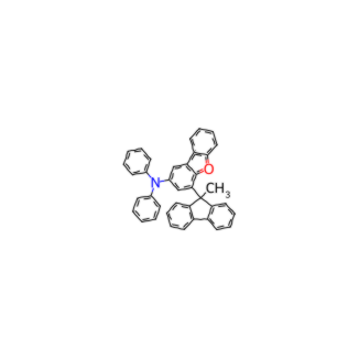 CC1(c2cc(N(c3ccccc3)c3ccccc3)cc3c2oc2ccccc23)c2ccccc2-c2ccccc21